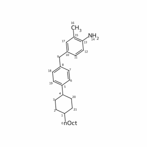 CCCCCCCCC1CCC(c2ccc(Cc3ccc(N)c(C)c3)cc2)CC1